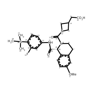 COc1ccc2c(c1)CCN(C(=O)N1CC(CC(=O)O)C1)[C@H]2C(=O)Nc1ccc([Si](C)(C)C)c(F)c1